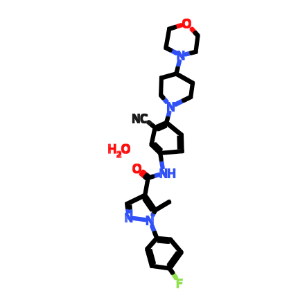 Cc1c(C(=O)Nc2ccc(N3CCC(N4CCOCC4)CC3)c(C#N)c2)cnn1-c1ccc(F)cc1.O